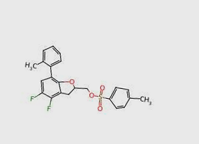 Cc1ccc(S(=O)(=O)OCC2Cc3c(F)c(F)cc(-c4ccccc4C)c3O2)cc1